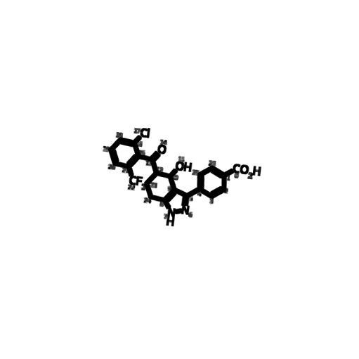 O=C(O)c1ccc(-c2n[nH]c3c2C(O)C(C(=O)c2c(Cl)cccc2C(F)(F)F)CC3)cc1